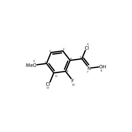 COc1ccc(C(Cl)=NO)c(F)c1Cl